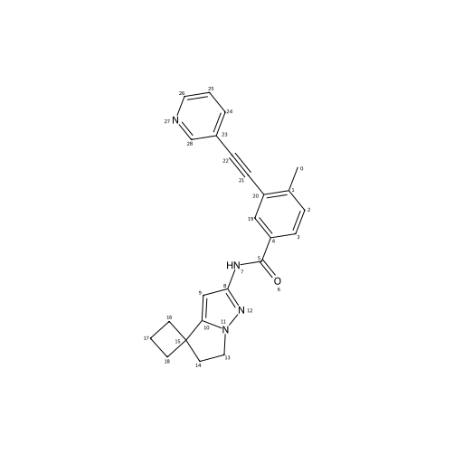 Cc1ccc(C(=O)Nc2cc3n(n2)CCC32CCC2)cc1C#Cc1cccnc1